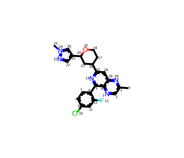 Cc1cnc2c(-c3ccc(Cl)cc3F)nc(C3CCOC(c4cnn(C)c4)C3)cc2n1